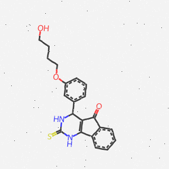 O=C1C2=C(NC(=S)NC2c2cccc(OCCCCO)c2)c2ccccc21